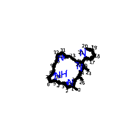 CC1=Cc2cc3ccc(cc4nc(cc5c(-c6ccccn6)c(C)c(c(C)c1n2)n5C)C=C4)[nH]3